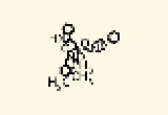 CC(=O)N(Cc1ccc(C)c(C)c1)C(=O)C(Cc1c[nH]c2ccccc12)NC(=O)CN1CCN(C2CCCCC2)CC1